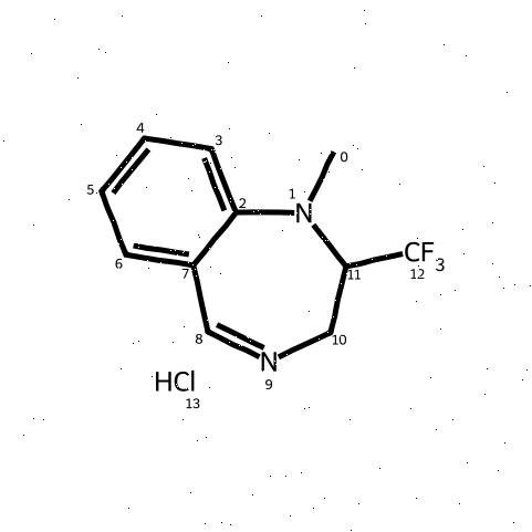 CN1c2ccccc2C=NCC1C(F)(F)F.Cl